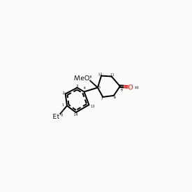 CCc1ccc(C2(OC)CCC(=O)CC2)cc1